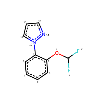 FC(F)Oc1ccccc1-n1cccn1